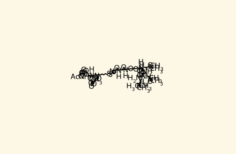 CC(=O)N[C@@H](CC(=O)ON1C(=O)CCC1=O)C(=O)NCCN(CCCCCCSSc1ccc(C(=O)NCCC(=O)NCCOCCOCC(=O)N[C@@H](CCCC[N+](C)(C)C)C(=O)N[C@@H](CCCC[N+](C)(C)C)C(=O)N[C@@H](CCCC[N+](C)(C)C)C(N)=O)cn1)C(=O)OCc1oc(=O)oc1C